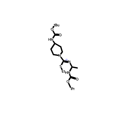 CCS/C(=N\C(C)NC(=O)OC(C)C)N1CCC(NC(=O)OC(C)(C)C)CC1